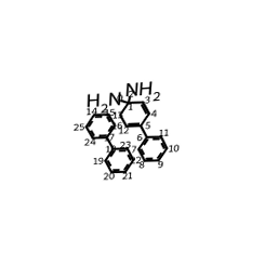 NC1(N)C=CC(c2ccccc2)=CC1.c1ccc(-c2ccccc2)cc1